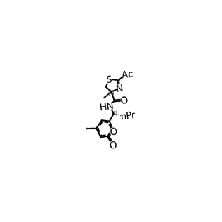 CCC[C@@H](NC(=O)[C@]1(C)CSC(C(C)=O)=N1)c1cc(C)cc(=O)o1